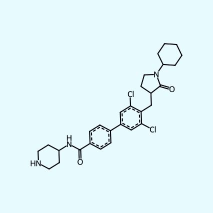 O=C(NC1CCNCC1)c1ccc(-c2cc(Cl)c(CC3CCN(C4CCCCC4)C3=O)c(Cl)c2)cc1